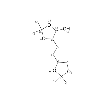 CC1(C)OCC(CCC2OC(C)(C)OC2O)O1